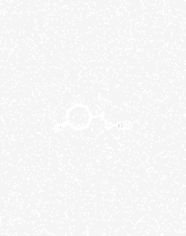 CC(C)(C)OSC1CCCC(=O)CC1